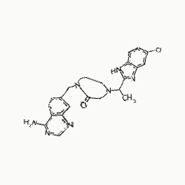 CC(c1nc2cc(Cl)ccc2[nH]1)N1CCN(Cc2ccc3c(N)ncnc3c2)C(=O)C1